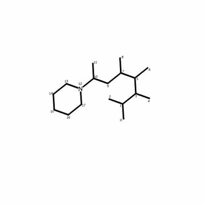 CC(C)C(C)C(C)C(C)CC(C)N1CCCCC1